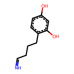 N=CCCCc1ccc(O)cc1O